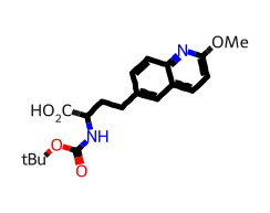 COc1ccc2cc(CCC(NC(=O)OC(C)(C)C)C(=O)O)ccc2n1